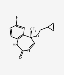 O=C1N=C[C@](OCC2CC2)(C(F)(F)F)c2cc(F)ccc2N1